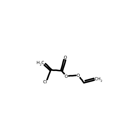 C=COOC(=O)C(=C)Cl